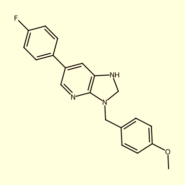 COc1ccc(CN2CNc3cc(-c4ccc(F)cc4)cnc32)cc1